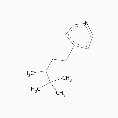 CC(CCc1ccncc1)C(C)(C)C